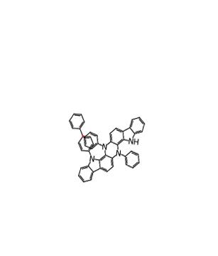 c1ccc(-c2ccc(-n3c4ccccc4c4ccc5c(c43)N(c3ccccc3)c3ccc4c([nH]c6ccccc64)c3N5c3ccccc3)cc2)cc1